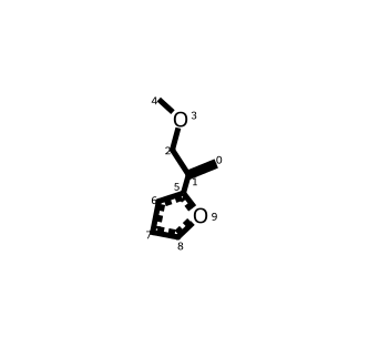 C=C(COC)c1ccco1